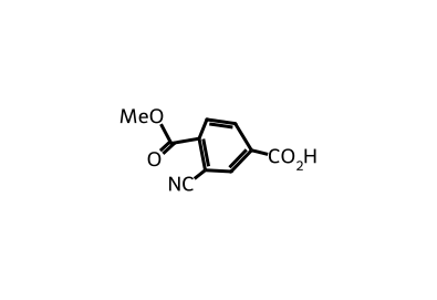 COC(=O)c1ccc(C(=O)O)cc1C#N